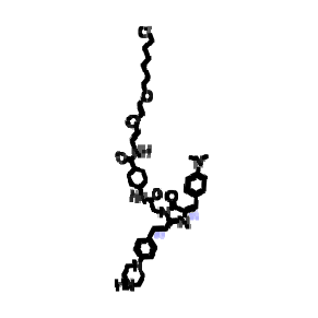 CN(C)c1ccc(/C=C2N=C(/C=C/c3ccc(N4CCNCC4)cc3)N(CC(=O)NC3CCC(C(=O)NCCOCCOCCCCCCCl)CC3)C/2=O)cc1